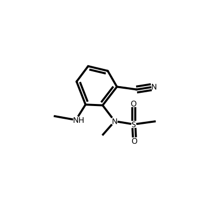 CNc1cccc(C#N)c1N(C)S(C)(=O)=O